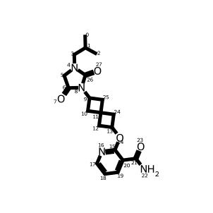 CC(C)CN1CC(=O)N(C2CC3(CC(Oc4ncccc4C(N)=O)C3)C2)C1=O